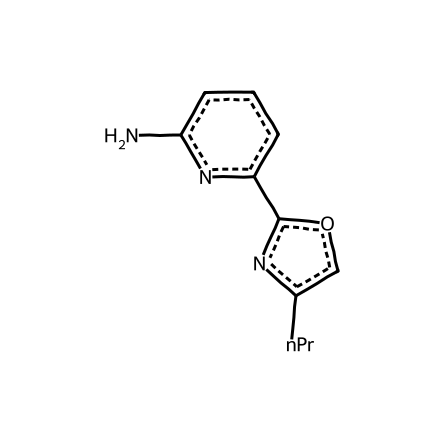 CCCc1coc(-c2cccc(N)n2)n1